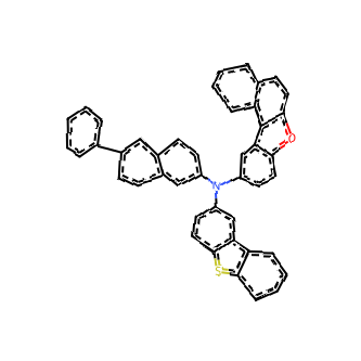 c1ccc(-c2ccc3cc(N(c4ccc5sc6ccccc6c5c4)c4ccc5oc6ccc7ccccc7c6c5c4)ccc3c2)cc1